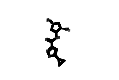 CC(C)N1CC(NC(=O)c2cc(C3CC3)on2)[C@@H](C)C1